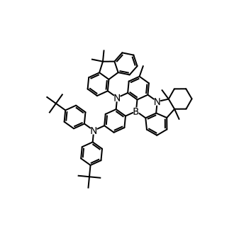 Cc1cc2c3c(c1)N1c4c(cccc4C4(C)CCCCC14C)B3c1ccc(N(c3ccc(C(C)(C)C)cc3)c3ccc(C(C)(C)C)cc3)cc1N2c1cccc2c1-c1ccccc1C2(C)C